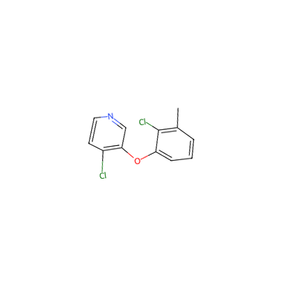 Cc1cccc(Oc2cnccc2Cl)c1Cl